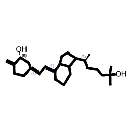 C=C1CC/C(=C/C=C2\CCCC3C2CCC3[C@@H](C)CCCC(C)(C)O)C[C@H]1O